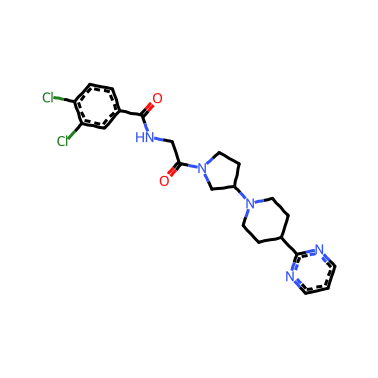 O=C(NCC(=O)N1CCC(N2CCC(c3ncccn3)CC2)C1)c1ccc(Cl)c(Cl)c1